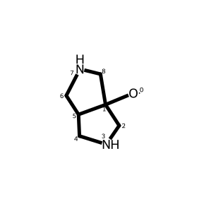 [O]C12CNCC1CNC2